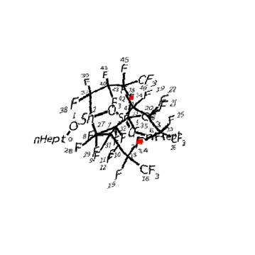 CCCCCCC[O][Sn]([O][Sn]([O]CCCCCCC)([C](F)(F)C(F)(F)C(F)(F)C(F)(F)F)[C](F)(F)C(F)(F)C(F)(F)C(F)(F)F)([C](F)(F)C(F)(F)C(F)(F)C(F)(F)F)[C](F)(F)C(F)(F)C(F)(F)C(F)(F)F